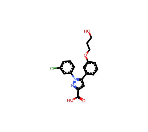 O=C(O)c1cc(-c2cccc(OCCCO)c2)n(-c2cccc(Cl)c2)n1